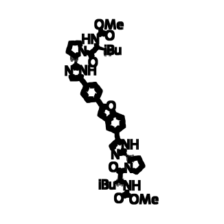 CCC(C)[C@H](NC(=O)OC)C(=O)N1CCC[C@H]1c1ncc(-c2ccc3oc(-c4ccc(-c5cnc([C@@H]6CCCN6C(=O)C(NC(=O)OC)[C@H](C)CC)[nH]5)cc4)cc3c2)[nH]1